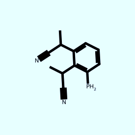 CC(C#N)c1cccc(P)c1C(C)C#N